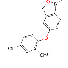 [C-]#[N+]c1ccc(Oc2ccc3c(c2)COB3C)c(C=O)c1